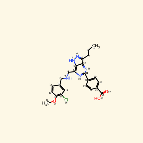 CCCc1n[nH]c2c(CNCc3ccc(OC)c(Cl)c3)nc(-c3ccc(C(=O)O)cc3)nc12